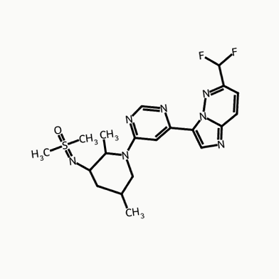 CC1CC(N=S(C)(C)=O)C(C)N(c2cc(-c3cnc4ccc(C(F)F)nn34)ncn2)C1